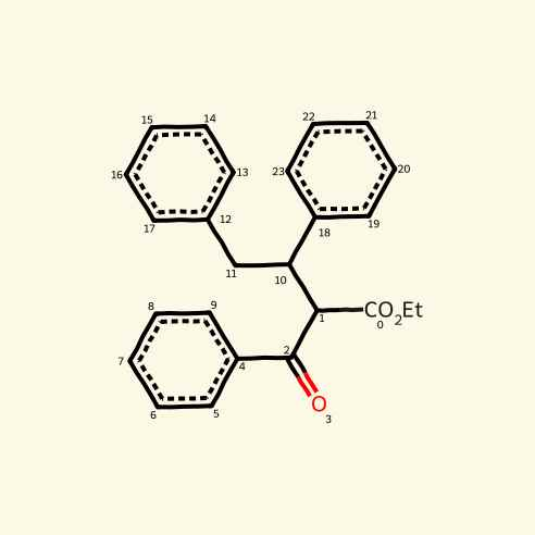 CCOC(=O)C(C(=O)c1ccccc1)C(Cc1ccccc1)c1ccccc1